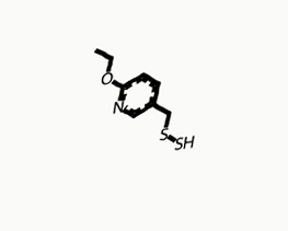 CCOc1ccc(CSS)cn1